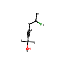 CC(F)CC#CC(C)(C)O